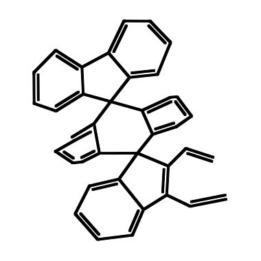 C=CC1=C(C=C)C2(c3ccccc31)c1ccccc1C1(c3ccccc3-c3ccccc31)c1ccccc12